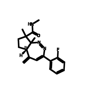 C=C1C=C(c2ccccc2F)N=NC2(C)[C@H]1CCC2(C)C(=O)NC